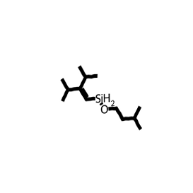 CC(C)CCO[SiH2]C=C(C(C)C)C(C)C